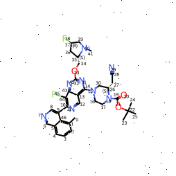 Cc1cccc2cncc(-c3ncc4c(N5CCN(C(=O)OC(C)(C)C)[C@@H](CC#N)C5)nc(OC[C@@H]5C[C@@H](F)CN5C)nc4c3F)c12